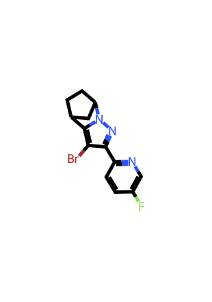 Fc1ccc(-c2nn3c(c2Br)C2CCC3C2)nc1